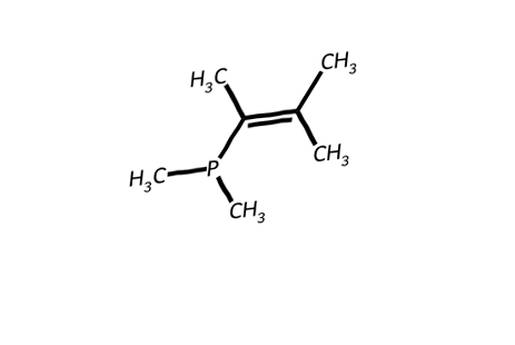 CC(C)=C(C)P(C)C